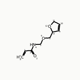 C=CC(=O)NCOCC1C=CCO1